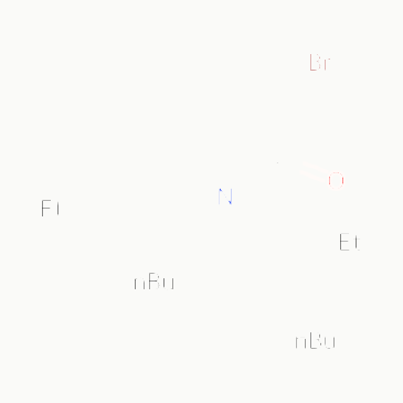 CCCCC(CC)CN(CC(CC)CCCC)C(=O)C(C)Br